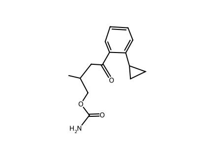 CC(COC(N)=O)CC(=O)c1ccccc1C1CC1